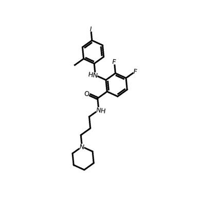 Cc1cc(I)ccc1Nc1c(C(=O)NCCCN2CCCCC2)ccc(F)c1F